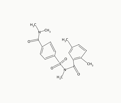 Cc1ccc(C)c(C(=O)N(C)S(=O)(=O)c2ccc(C(=O)N(C)C)cc2)c1